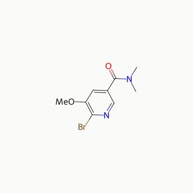 COc1cc(C(=O)N(C)C)cnc1Br